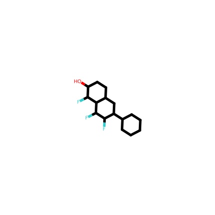 OC1CCC2CC(C3CCCCC3)C(F)C(F)C2C1F